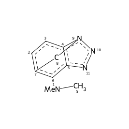 CNC.c1cc2c3cc1Cn2nn3